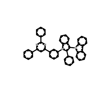 c1ccc(-c2cc(-c3cccc(-n4c(-c5ccccc5)c(-n5c6ccccc6c6ccccc65)c5ccccc54)c3)nc(-c3ccccc3)n2)cc1